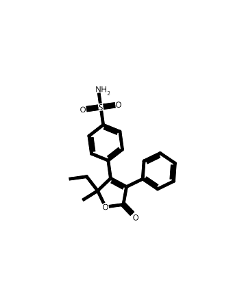 CCC1(C)OC(=O)C(c2ccccc2)=C1c1ccc(S(N)(=O)=O)cc1